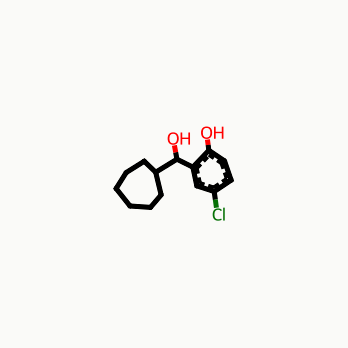 Oc1ccc(Cl)cc1C(O)C1CCCCCC1